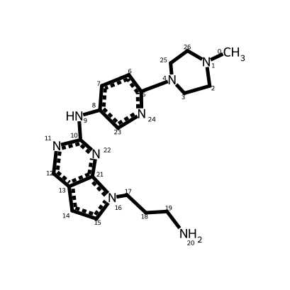 CN1CCN(c2ccc(Nc3ncc4ccn(CCCN)c4n3)cn2)CC1